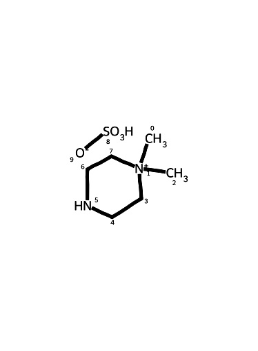 C[N+]1(C)CCNCC1.O=S(=O)([O-])O